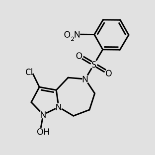 O=[N+]([O-])c1ccccc1S(=O)(=O)N1CCCN2C(=C(Cl)CN2O)C1